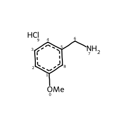 COc1cccc(CN)c1.Cl